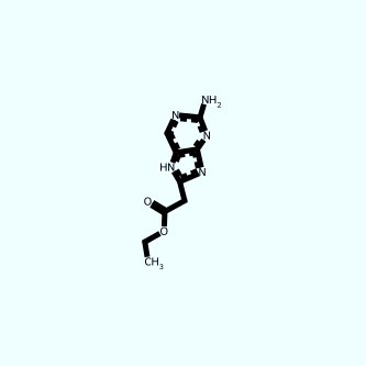 CCOC(=O)Cc1nc2nc(N)ncc2[nH]1